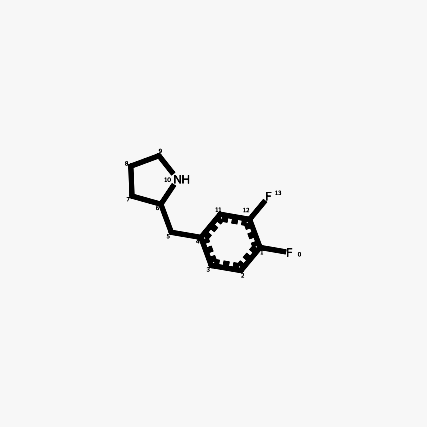 Fc1ccc(CC2CCCN2)cc1F